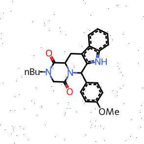 CCCCN1CC(=O)N2C(Cc3c([nH]c4ccccc34)C2c2ccc(OC)cc2)C1=O